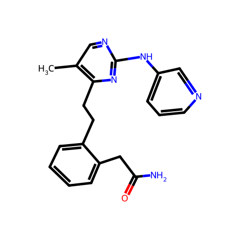 Cc1cnc(Nc2cccnc2)nc1CCc1ccccc1CC(N)=O